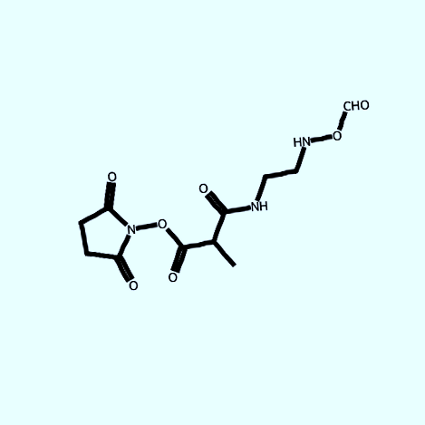 CC(C(=O)NCCNOC=O)C(=O)ON1C(=O)CCC1=O